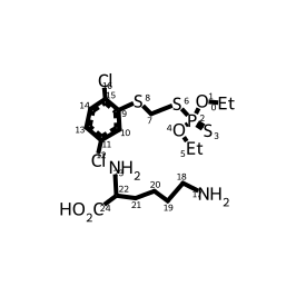 CCOP(=S)(OCC)SCSc1cc(Cl)ccc1Cl.NCCCCC(N)C(=O)O